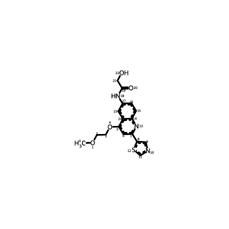 COCCOc1cc(-c2cncs2)nc2ccc(NC(=O)CO)cc12